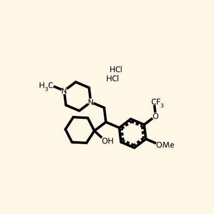 COc1ccc(C(CN2CCN(C)CC2)C2(O)CCCCC2)cc1OC(F)(F)F.Cl.Cl